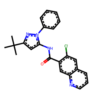 CC(C)(C)c1cc(NC(=O)c2cc3ncccc3cc2Cl)n(-c2ccccc2)n1